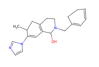 CC1CC2=C(C=C1n1ccnc1)C(O)N(CC1=CC=CCC1)CC2